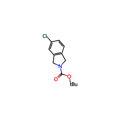 CC(C)(C)OC(=O)N1Cc2ccc(Cl)cc2C1